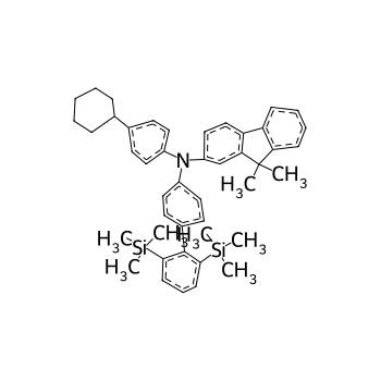 CC1(C)c2ccccc2-c2ccc(N(c3ccc(-c4c([Si](C)(C)C)cccc4[Si](C)(C)C)cc3)c3ccc(C4CCCCC4)cc3)cc21